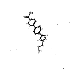 O=C(O)N1CC=C(c2ccc(-c3ncn(CCO)n3)cc2)CC1